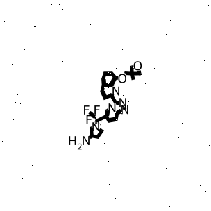 CC1(COc2cccc3ccc(-c4nnc5ccc([C@@H](N6CCC(N)C6)C(F)(F)F)cn45)nc23)COC1